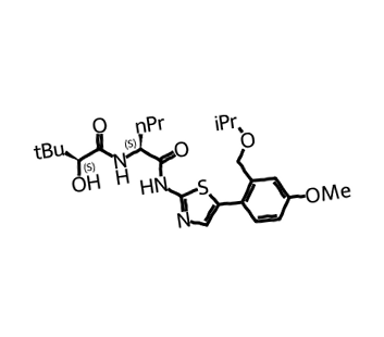 CCC[C@H](NC(=O)[C@@H](O)C(C)(C)C)C(=O)Nc1ncc(-c2ccc(OC)cc2COC(C)C)s1